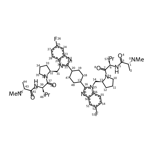 CN[C@H](C)C(=O)N[C@@H](C(=O)N1CCC[C@H]1Cn1c(C2CCC(c3nc4cc(F)ccc4n3C[C@@H]3CCCN3C(=O)[C@H](NC(=O)[C@@H](C)NC)C(C)C)CC2)nc2cc(F)ccc21)C(C)C